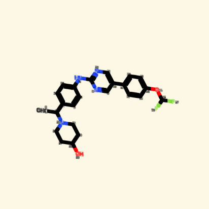 O=CC(c1ccc(Nc2ncc(-c3ccc(OC(F)F)cc3)cn2)cc1)N1CCC(O)CC1